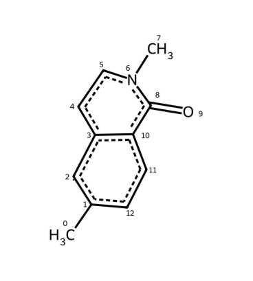 Cc1[c]c2ccn(C)c(=O)c2cc1